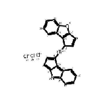 C1=C[CH]([Ti+2][C]2=CC=C3N=c4ccccc4=C32)c2c1oc1ccccc21.[Cl-].[Cl-].[Cl-]